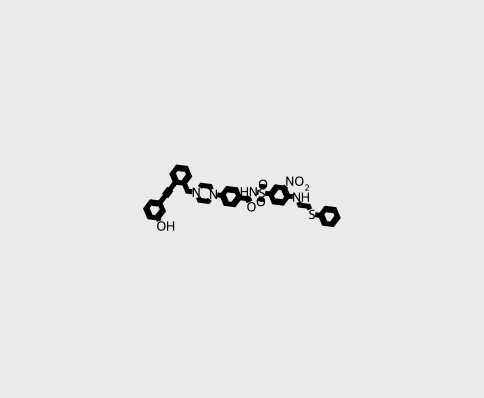 O=C(NS(=O)(=O)c1ccc(NCCSc2ccccc2)c([N+](=O)[O-])c1)c1ccc(N2CCN(Cc3ccccc3C#Cc3cccc(O)c3)CC2)cc1